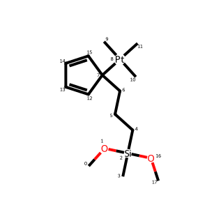 CO[Si](C)(CCC[C]1([Pt]([CH3])([CH3])[CH3])C=CC=C1)OC